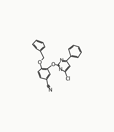 N#Cc1ccc(OCc2ccccc2)c(Oc2nc(Cl)cc(-c3ccccc3)n2)c1